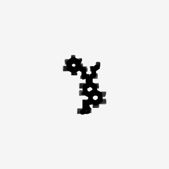 CCCN(CCc1ccccc1)C1CCC2=C(CCCC2=NOC)C1